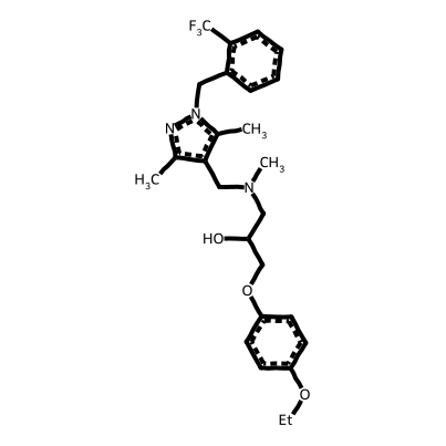 CCOc1ccc(OCC(O)CN(C)Cc2c(C)nn(Cc3ccccc3C(F)(F)F)c2C)cc1